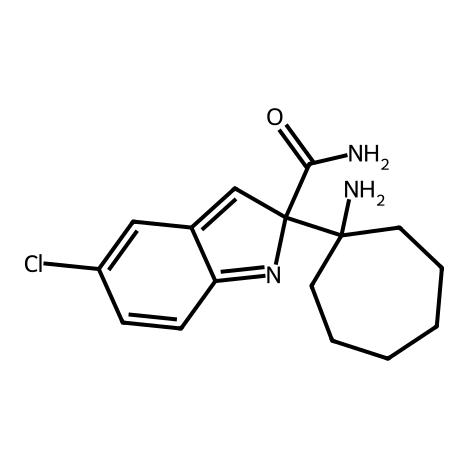 NC(=O)C1(C2(N)CCCCCC2)C=c2cc(Cl)ccc2=N1